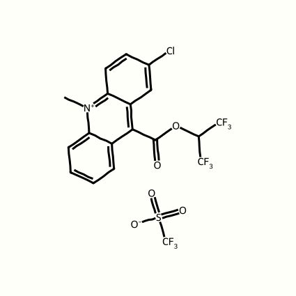 C[n+]1c2ccccc2c(C(=O)OC(C(F)(F)F)C(F)(F)F)c2cc(Cl)ccc21.O=S(=O)([O-])C(F)(F)F